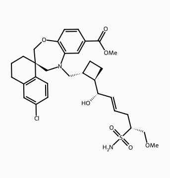 COC[C@@H](C/C=C/[C@H](O)[C@@H]1CC[C@H]1CN1C[C@@]2(CCCc3cc(Cl)ccc32)COc2ccc(C(=O)OC)cc21)S(N)(=O)=O